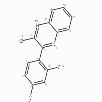 Clc1ccc(-c2nc3ccccc3nc2Cl)c(Cl)c1